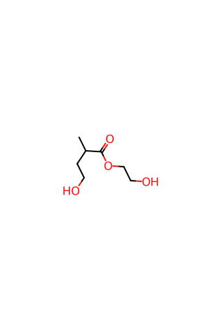 CC(CCO)C(=O)OCCO